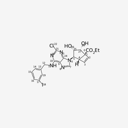 CCOC(=O)[C@@]12C=C[C@@H]1[C@@H](n1cnc3c(NCc4cccc(I)c4)nc(Cl)nc31)[C@H](O)[C@@H]2O